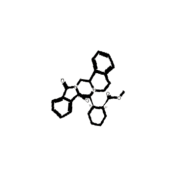 COC(=O)[C@H]1CCCC[C@H]1C(=O)N1CCc2ccccc2C1CN1C(=O)c2ccccc2C1=O